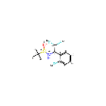 CC(C)(C)[S+]([O-])NC(c1ccccc1F)C(F)F